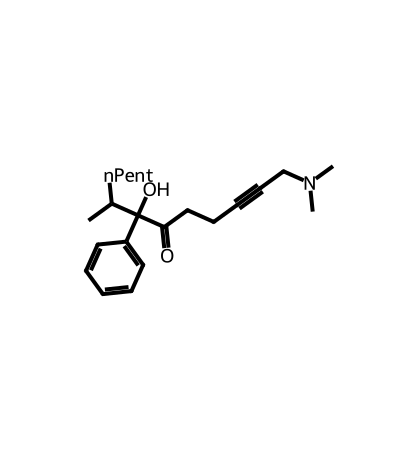 CCCCCC(C)C(O)(C(=O)CCC#CCN(C)C)c1ccccc1